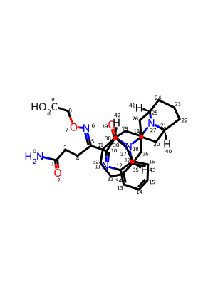 NC(=O)CC/C(=N\OCC(=O)O)c1nc2ccccc2n(C2C[C@H]3CCC[C@@H](C2)N3C2C[C@H]3CCCC[C@@H](C2)C3)c1=O